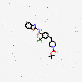 CC(C)(C)OC(=O)N1CCC(=Cc2ccc(C(=O)Nc3nc4ccccc4s3)c(C(F)(F)F)c2)CC1